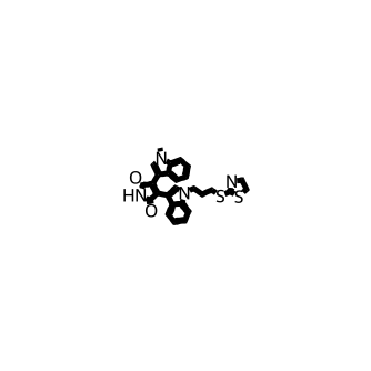 Cn1cc(C2=C(c3cn(CCCSC4=NCCS4)c4ccccc34)C(=O)NC2=O)c2ccccc21